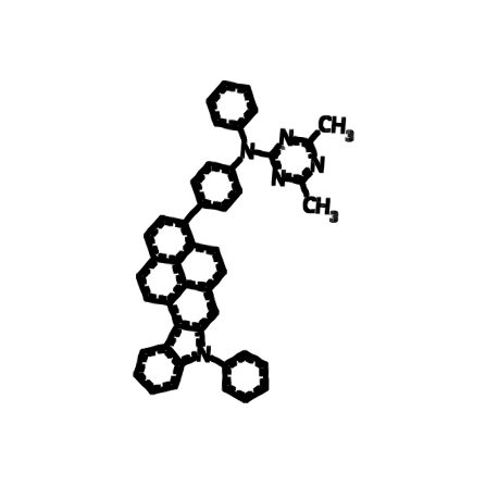 Cc1nc(C)nc(N(c2ccccc2)c2ccc(-c3ccc4ccc5c6c(ccc3c46)cc3c5c4ccccc4n3-c3ccccc3)cc2)n1